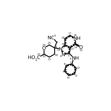 N#CCC1(n2nc(Nc3ccccc3)c3c(=O)[nH]ccc32)CCC(C(=O)O)OC1